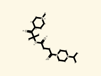 CC(C)N1CCN(C(=O)CCC(=O)OC(C)(C)C(=O)C2CCN(C)CC2)CC1